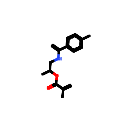 C=C(C)C(=O)OC(C)CNC(=C)c1ccc(C)cc1